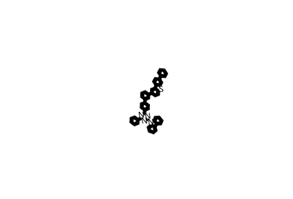 c1ccc(-c2ccc3c(c2)sc2ccc(-c4cccc(-c5ccc(-c6nc(-c7ccccc7)nc(-n7c8ccccc8c8ccccc87)n6)cc5)c4)cc23)cc1